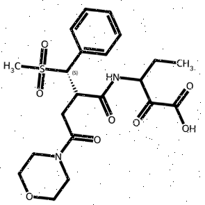 CCC(NC(=O)C(CC(=O)N1CCOCC1)[C@@H](c1ccccc1)S(C)(=O)=O)C(=O)C(=O)O